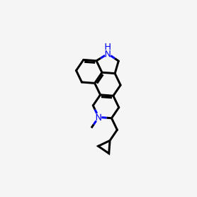 CN1CC2=C(CC3CNC4=CCCC2=C43)CC1CC1CC1